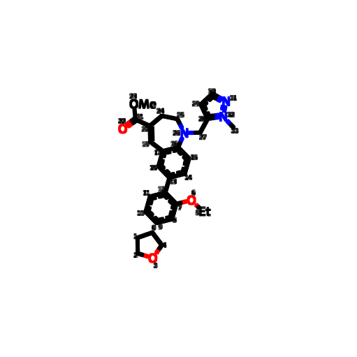 C1CCOC1.CCOc1ccccc1-c1ccc2c(c1)C=C(C(=O)OC)CCN2Cc1ccnn1C